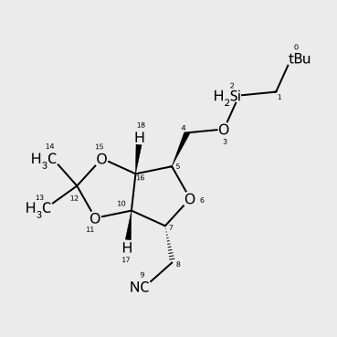 CC(C)(C)C[SiH2]OC[C@H]1O[C@H](CC#N)[C@@H]2OC(C)(C)O[C@@H]21